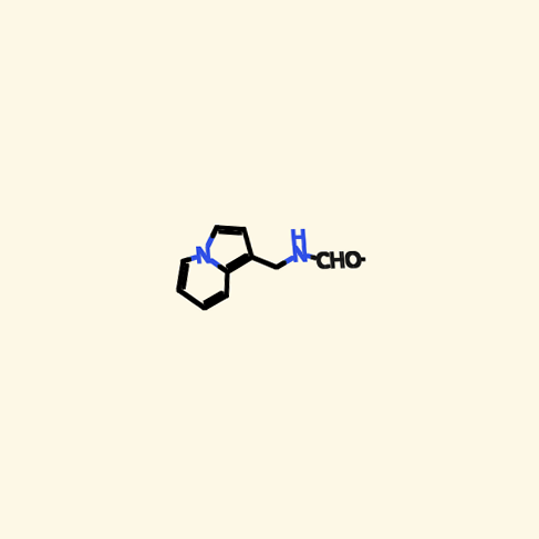 O=[C]NCc1ccn2ccccc12